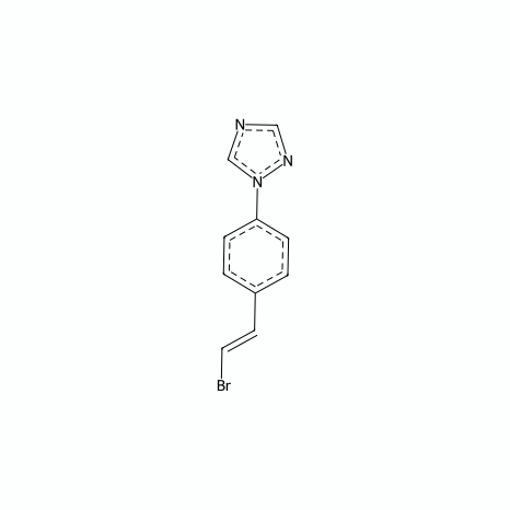 Br/C=C/c1ccc(-n2cncn2)cc1